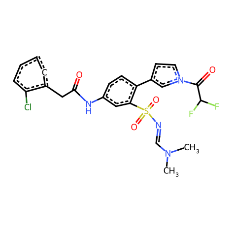 CN(C)C=NS(=O)(=O)c1cc(NC(=O)Cc2ccccc2Cl)ccc1-c1ccn(C(=O)C(F)F)c1